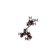 Cc1cc(N(CCCCN(C)C(=O)CCCCCCCCCCC(=O)N[C@H](C(=O)N2C[C@H](O)C[C@H]2C(=O)N[C@@H](C)c2ccc(-c3scnc3C)cc2)C(C)(C)C)c2ccc(-c3cnn(CC45CC6(C)CC(C)(C4)CC(OCCN(C)C)(C6)C5)c3C)c(C(=O)N(C)C)n2)nnc1Nc1nc2ccccc2s1